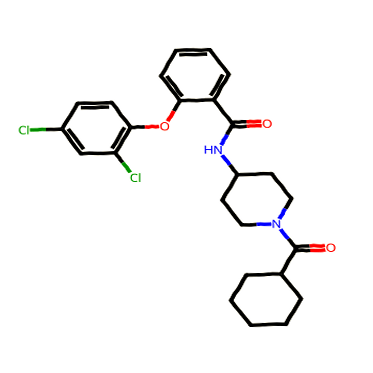 O=C(NC1CCN(C(=O)C2CCCCC2)CC1)c1ccccc1Oc1ccc(Cl)cc1Cl